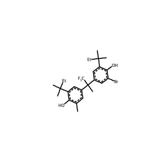 CCC(C)(C)c1cc(C(C)(c2cc(Br)c(O)c(C(C)(C)CC)c2)C(F)(F)F)cc(C)c1O